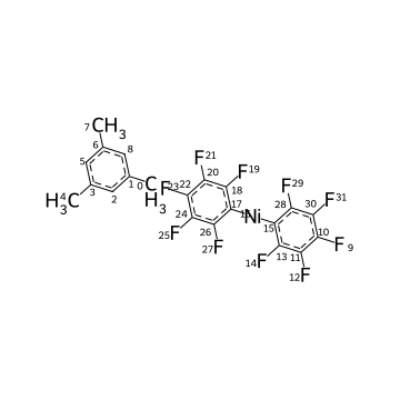 Cc1cc(C)cc(C)c1.Fc1c(F)c(F)[c]([Ni][c]2c(F)c(F)c(F)c(F)c2F)c(F)c1F